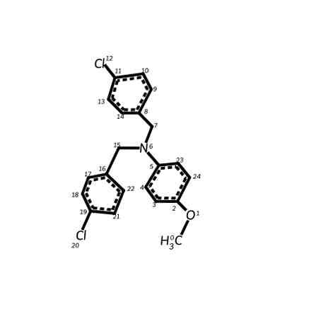 COc1ccc(N(Cc2ccc(Cl)cc2)Cc2ccc(Cl)cc2)cc1